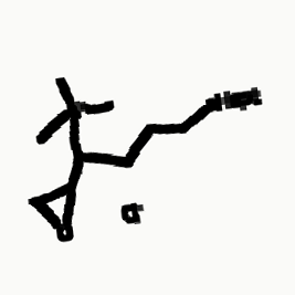 CCCCCCCCCCC(C1CO1)[N+](C)(C)C.[Cl-]